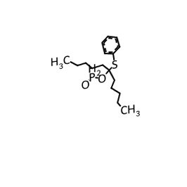 CCCCCC(CCCCC)(O[PH2]=O)Sc1ccccc1